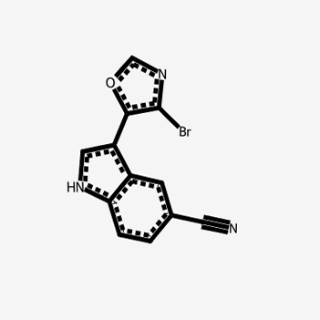 N#Cc1ccc2[nH]cc(-c3ocnc3Br)c2c1